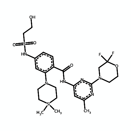 Cc1cc(NC(=O)c2ccc(NS(=O)(=O)CCO)cc2N2CC[Si](C)(C)CC2)nc(N2CCOC(F)(F)C2)n1